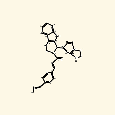 CN=Cc1ccc(/C=C/C(=O)N2CCc3c([nH]c4ccccc34)C2c2ccc3c(c2)OCO3)cc1